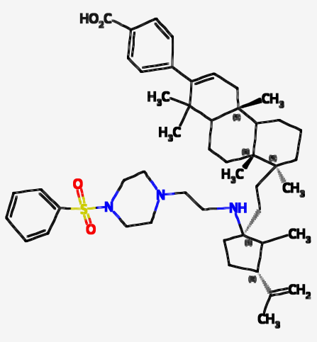 C=C(C)[C@@H]1CC[C@@](CC[C@]2(C)CCCC3[C@@]4(C)CC=C(c5ccc(C(=O)O)cc5)C(C)(C)C4CC[C@]32C)(NCCN2CCN(S(=O)(=O)c3ccccc3)CC2)C1C